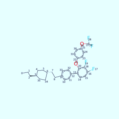 CCC[C@H]1CC[C@H](CCc2ccc(-c3ccc(F)c(F)c3Oc3ccc(OC(F)F)cc3)cc2)CC1